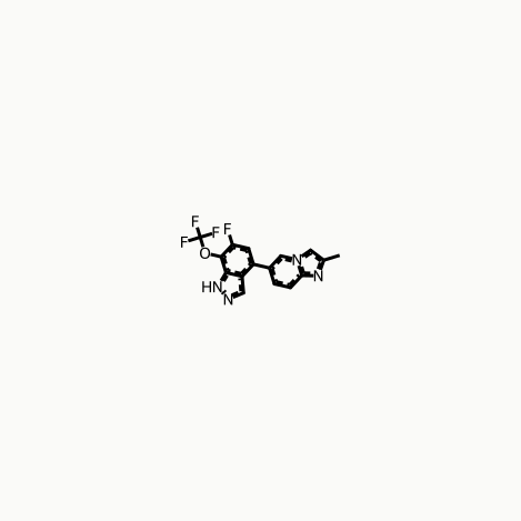 Cc1cn2cc(-c3cc(F)c(OC(F)(F)F)c4[nH]ncc34)ccc2n1